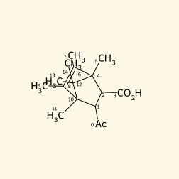 CC(=O)C1C(C(=O)O)C2(C)C(C)=C(C)C1(C)C2(C)C